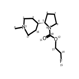 CN1CCC([C@@H]2CCCN2C(=O)OCCF)CC1